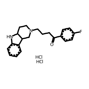 Cl.Cl.O=C(CCCN1CCC2Nc3ccccc3C2C1)c1ccc(F)cc1